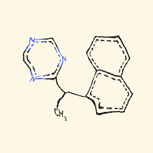 CC(c1ncncn1)c1cccc2ccccc12